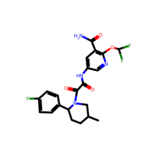 CC1CCC(c2ccc(F)cc2)N(C(=O)C(=O)Nc2cnc(OC(F)F)c(C(N)=O)c2)C1